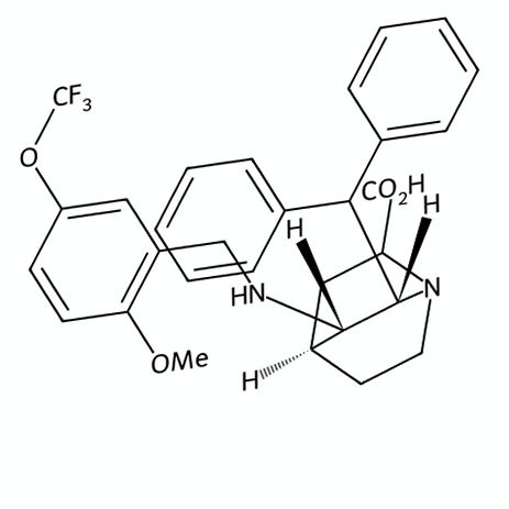 COc1ccc(OC(F)(F)F)cc1CN[C@H]1[C@H]2CCN(C(C(=O)O)C2)[C@H]1C(c1ccccc1)c1ccccc1